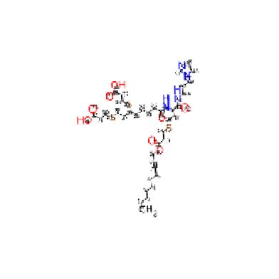 CCCCCCCC#CCOC(=O)CCSCCC(NC(=O)CCCCC(CCSCCC(=O)O)SCCC(=O)O)C(=O)NCCCn1ccnc1